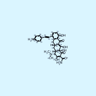 CN(C)[C@H]1C(O)=C(C(N)=O)C(=O)[C@@]2(O)C(O)=C3C(=O)c4c(O)ccc(C#Cc5ccc(N)cc5)c4C[C@H]3C[C@H]12